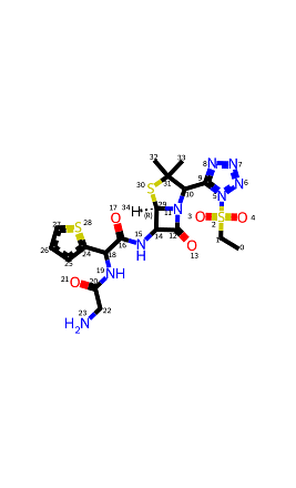 CCS(=O)(=O)n1nnnc1C1N2C(=O)C(NC(=O)C(NC(=O)CN)c3cccs3)[C@H]2SC1(C)C